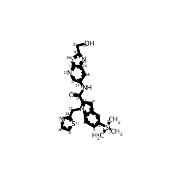 C[Si](C)(C)c1ccc2c(c1)cc(C(=O)Nc1cnc3sc(CO)nc3c1)n2Cc1nccs1